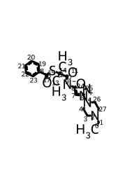 CCN1CCN([n+]2cc([N-]C(=O)C(C)(C)SC(=O)c3ccccc3)on2)CC1